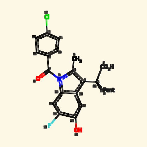 CCCCC[C@H](C(=O)O)c1c(C)n(C(=O)c2ccc(Cl)cc2)c2cc(F)c(O)cc12